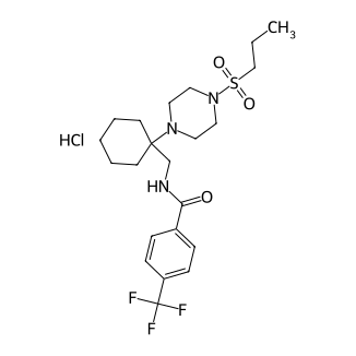 CCCS(=O)(=O)N1CCN(C2(CNC(=O)c3ccc(C(F)(F)F)cc3)CCCCC2)CC1.Cl